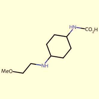 COCCNC1CCC(NC(=O)O)CC1